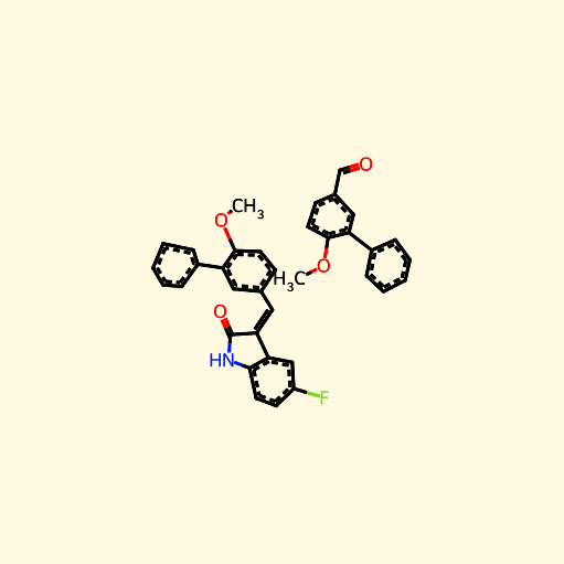 COc1ccc(C=C2C(=O)Nc3ccc(F)cc32)cc1-c1ccccc1.COc1ccc(C=O)cc1-c1ccccc1